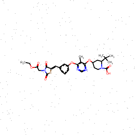 CCOC(=O)CN1C(=O)S/C(=C\c2cccc(Oc3ncnc(OC4CCN(C(=O)O)C(C(C)(C)C)C4)c3C)c2)C1=O